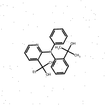 CCC(C)(O)c1cccnc1N(c1ccccc1)c1ccccc1C(C)(C)O